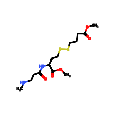 CNCCC(=O)N[C@@H](CCSSCCCC(=O)OC)C(=O)OC